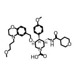 COCCCN1CCOc2ccc(CO[C@H]3CN(C(=O)O)C[C@@H](CNC(=O)C4CCOCC4)[C@@H]3c3ccc(OC)cc3)cc21